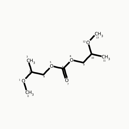 COC(C)COC(=O)OCC(C)OC